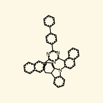 C1=CCC2C(=C1)N(c1ccc3ccccc3c1-c1nc(-c3ccc(-c4ccccc4)cc3)nc(-c3ccc4ccccc4c3)n1)c1ccccc12